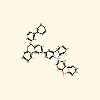 C1=CC(c2cccc(C3Cc4ccccc4-c4cc(-c5ccc6c(c5)c5ccccc5n6-c5ccc6oc7ccccc7c6c5)ccc43)c2)=CCC1